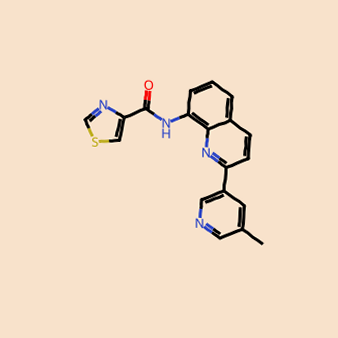 Cc1cncc(-c2ccc3cccc(NC(=O)c4cscn4)c3n2)c1